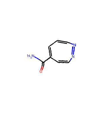 NC(=O)C1=CC=CN=NC=C1